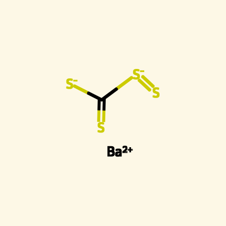 S=[S-]C(=S)[S-].[Ba+2]